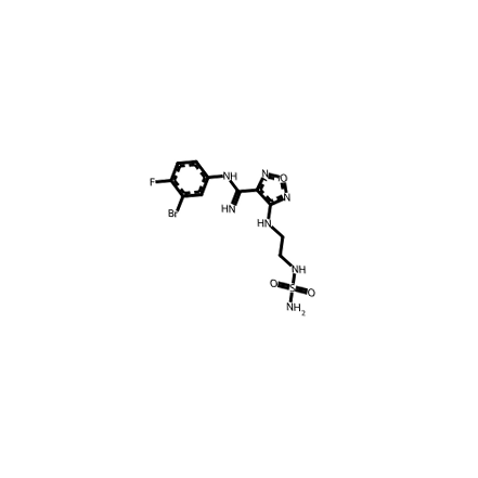 N=C(Nc1ccc(F)c(Br)c1)c1nonc1NCCNS(N)(=O)=O